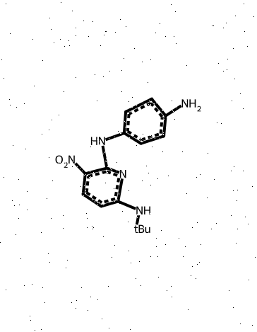 CC(C)(C)Nc1ccc([N+](=O)[O-])c(Nc2ccc(N)cc2)n1